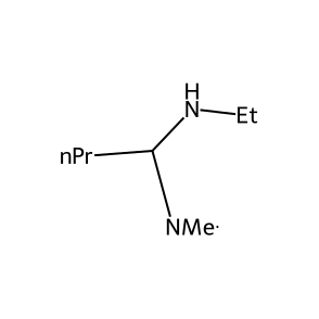 CCCC([N]C)NCC